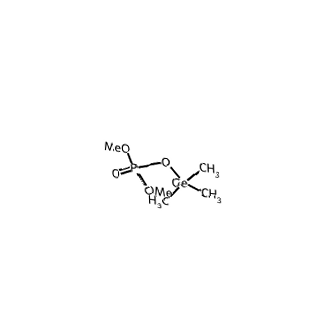 COP(=O)(OC)[O][Ge]([CH3])([CH3])[CH3]